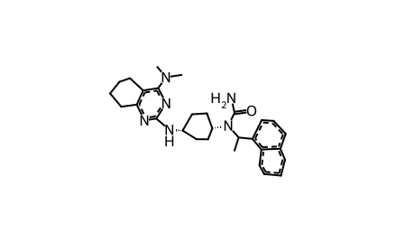 CC(c1cccc2ccccc12)N(C(N)=O)[C@H]1CC[C@@H](Nc2nc3c(c(N(C)C)n2)CCCC3)CC1